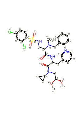 CCOC(CN(C(=O)C(Cc1cccnc1)NC(=O)C(CNS(=O)(=O)c1ccc(Cl)cc1Cl)N(Cc1ccccc1)C(=O)O)C1CC1)OCC